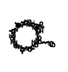 CC[C@@H]1NC(=O)[C@H]([C@H](O)[C@H](C)CCOC(=O)NC)N(C)C(=O)[C@H](C(C)C)N(C)C(=O)[C@H](CC(C)C)N(C)C(=O)[C@H](CC(C)C)NC(=O)[C@@H](C)NC(=O)[C@H](C)NC(=O)[C@H](CC(C)C)N(C)C(=O)[C@H](C(C)C)NC(=O)[C@H]([C@@H](C)OCCCCN2CCOCC2)N(C)C(=O)[C@@H](C)N(C)C1=O